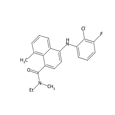 CCN(C)C(=O)c1ccc(Nc2cccc(F)c2Cl)c2cccc(C)c12